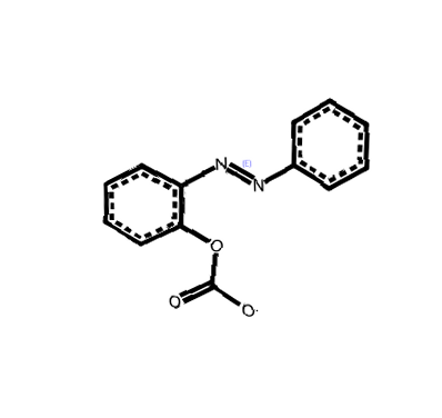 [O]C(=O)Oc1ccccc1/N=N/c1ccccc1